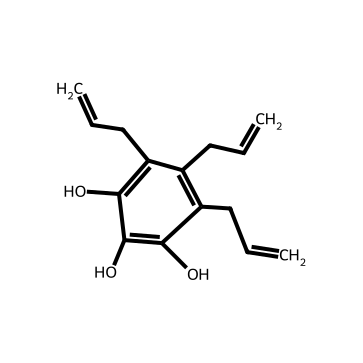 C=CCc1c(O)c(O)c(O)c(CC=C)c1CC=C